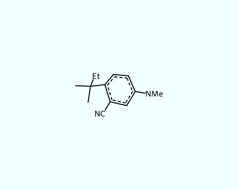 CCC(C)(C)c1ccc(NC)cc1C#N